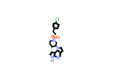 C[C@@H]1CCN(S(=O)(=O)CCc2ccc(Cl)cc2)C[C@@H]1n1ccc2cnc3[nH]ccc3c21